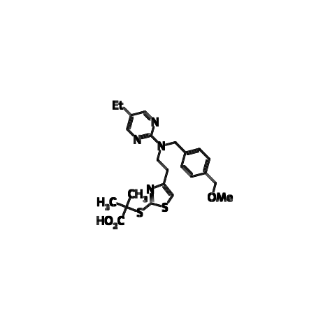 CCc1cnc(N(CCc2csc(SC(C)(C)C(=O)O)n2)Cc2ccc(COC)cc2)nc1